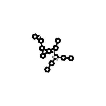 c1ccc(-c2ccc(-c3cc(-n4c5ccc(-c6ccccc6)cc5c5cc6c7cc(-c8ccc9sc%10ccccc%10c9c8)ccc7c7ccccc7c6cc54)nc(-c4ccc(-c5ccccc5)cc4)n3)cc2)cc1